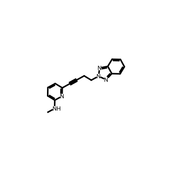 CNc1cccc(C#CCCn2nc3ccccc3n2)n1